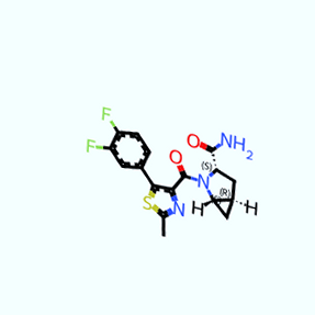 Cc1nc(C(=O)N2[C@H](C(N)=O)C[C@H]3C[C@@H]32)c(-c2ccc(F)c(F)c2)s1